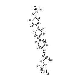 C=CCc1ccc(-c2ccc(-c3ccc(C#CC(I)CCC(C)F)cn3)cc2)cc1